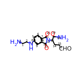 NCCNc1ccc2c(c1)C(=O)N(C(CCC=O)C(N)=O)C2=O